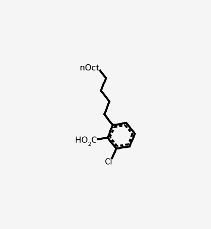 CCCCCCCCCCCCc1cccc(Cl)c1C(=O)O